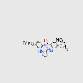 COc1ccc(-n2c(C3CCCN3)nc3cc(C)c([N+](=O)[O-])cc3c2=O)cc1